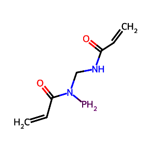 C=CC(=O)NCN(P)C(=O)C=C